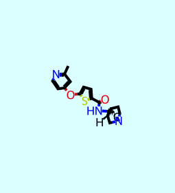 Cc1cc(Oc2ccc(C(=O)N[C@H]3CN4CCC3CC4)s2)ccn1